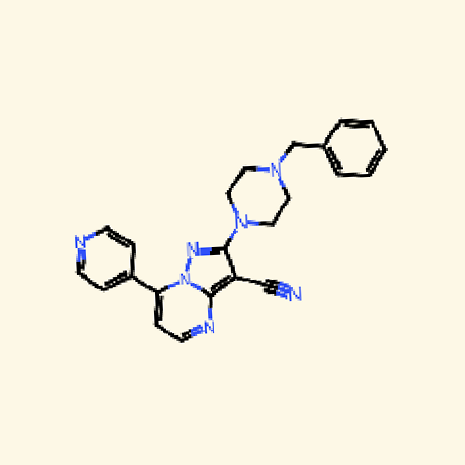 N#Cc1c(N2CCN(Cc3ccccc3)CC2)nn2c(-c3ccncc3)ccnc12